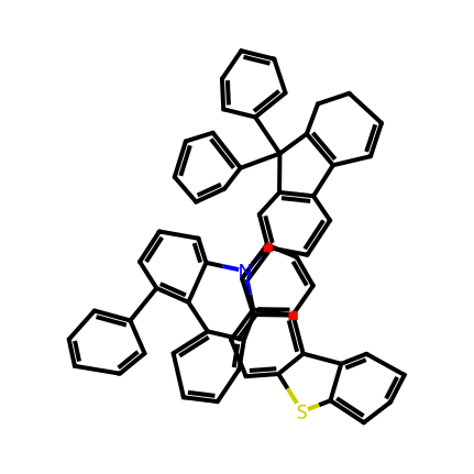 C1=CC2=C(CC1)C(c1ccccc1)(c1ccccc1)c1cc(N(c3ccc4sc5ccccc5c4c3)c3cccc(-c4ccccc4)c3-c3ccccc3-c3ccccc3)ccc12